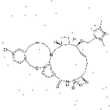 CC[C@@H]1CC/C=C/[C@H](OCc2cc(C)nn2C)[C@@H]2CC[C@H]2CN2CCCCc3cc(Cl)ccc3COc3ccc(cc32)C(=O)NS1(=O)=O